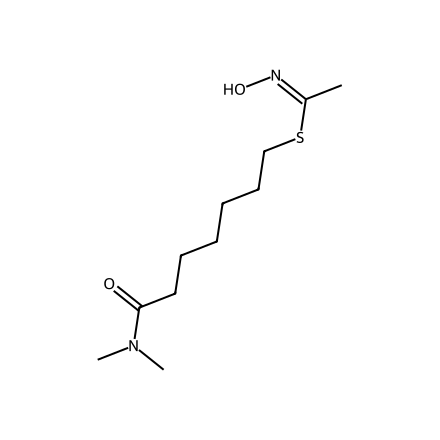 CC(=NO)SCCCCCCC(=O)N(C)C